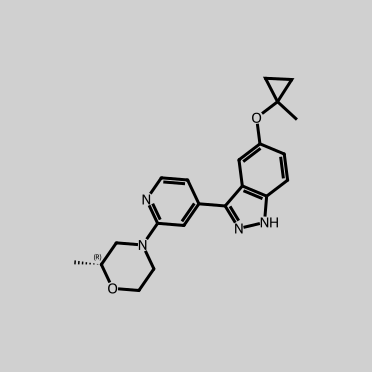 C[C@@H]1CN(c2cc(-c3n[nH]c4ccc(OC5(C)CC5)cc34)ccn2)CCO1